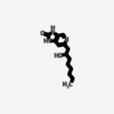 CCCCCCC(O)Cc1cc2[nH]c(=O)[nH]c2cn1